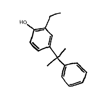 CCc1cc(C(C)(C)c2ccccc2)ccc1O